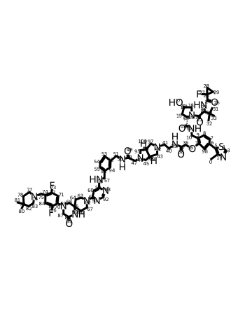 Cc1ncsc1-c1ccc(CNC(=O)[C@@H]2C[C@@H](O)CN2C(=O)[C@@H](NC(=O)C2(F)CC2)C(C)(C)C)c(OCC(=O)NCCN2C[C@@H]3CN(CC(=O)NCc4cccc(CNc5cc(N6CCC7(CC6)CN(c6cc(F)c(CN8CCC(C)(C)CC8)cc6F)CC(=O)N7)ncn5)c4)C[C@@H]3C2)c1